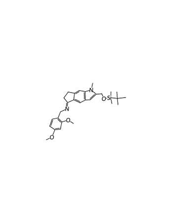 COc1ccc(CN=C2CCc3cc4c(cc32)cc(CO[Si](C)(C)C(C)(C)C)n4C)c(OC)c1